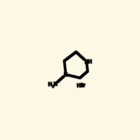 Br.NN1CCNCC1